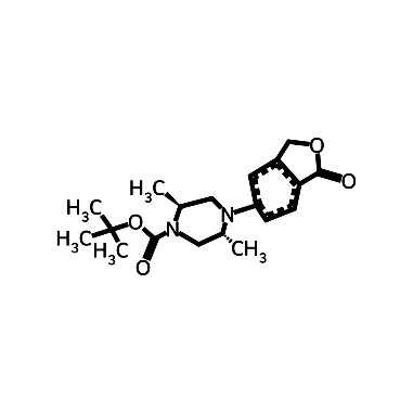 C[C@@H]1CN(C(=O)OC(C)(C)C)[C@@H](C)CN1c1ccc2c(c1)COC2=O